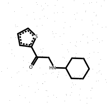 O=C(CNC1CCCCC1)c1cccs1